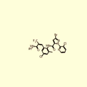 Cc1cc(Cl)cc(C=C(C(=O)NC(C)C)C(F)(F)F)c1NC(=O)c1cc(Br)nn1-c1ncccc1Cl